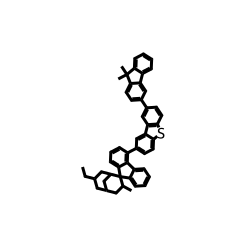 CCC1CC2CC(C)C3(c4ccccc4-c4c(-c5ccc6sc7ccc(-c8ccc9c(c8)-c8ccccc8C9(C)C)cc7c6c5)cccc43)C(C1)C2